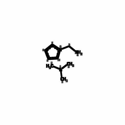 CN(C)C.NCn1cccc1